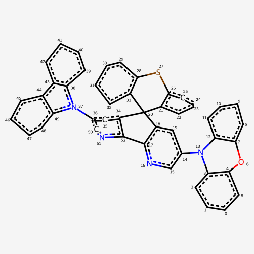 c1ccc2c(c1)Oc1ccccc1N2c1cnc2c(c1)C1(c3ccccc3Sc3ccccc31)c1cc(-n3c4ccccc4c4ccccc43)cnc1-2